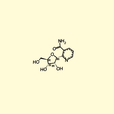 NC(=O)c1cccnc1[C@H]1O[C@H](CO)[C@@H](O)[C@H]1O